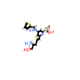 N[C@@H](CO)Cc1cc2nc(Cl)cc(NCc3cccs3)c2s1.O=CO